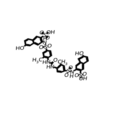 Cc1cc(S(=O)(=O)Nc2cc3cc(O)ccc3cc2S(=O)(=O)O)ccc1NC(=O)Nc1ccc(S(=O)(=O)Nc2cc3cc(O)ccc3cc2S(=O)(=O)O)cc1C